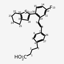 O=C(O)CCCc1ccc(C=Cc2cc(F)ccc2-c2cc3c(s2)CCCC3)cc1